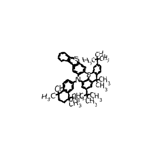 CC(C)(C)c1ccc2c(c1)B1c3cc4sc5ccccc5c4cc3N(c3ccc4c(c3)C(C)(C)CCC4(C)C)c3cc(C(C)(C)C)cc(c31)C2(C)C